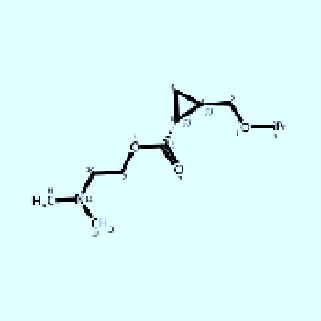 CC(C)OC[C@@H]1C[C@H]1C(=O)OCCN(C)C